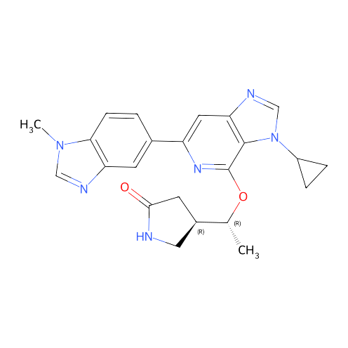 C[C@@H](Oc1nc(-c2ccc3c(c2)ncn3C)cc2ncn(C3CC3)c12)[C@H]1CNC(=O)C1